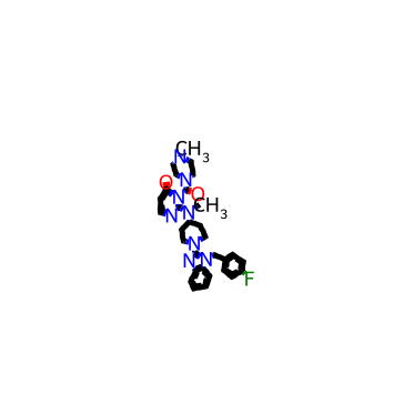 CN1CCN(C(=O)n2c(N(C)C3CCN(c4nc5ccccc5n4Cc4ccc(F)cc4)CC3)nccc2=O)CC1